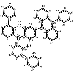 c1ccc(-c2cccc3c2Oc2cc(-c4c5ccccc5c(-c5ccccc5)c5ccccc45)cc4c2B3c2cccc(-c3ccccc3)c2O4)cc1